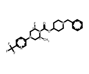 C[C@H]1CN(c2ccc(C(F)(F)F)nc2)C[C@@H](F)N1C(=O)OC1CCN(Cc2ccccc2)CC1